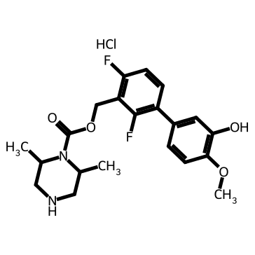 COc1ccc(-c2ccc(F)c(COC(=O)N3C(C)CNCC3C)c2F)cc1O.Cl